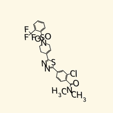 CN(C)C(=O)c1ccc(-c2nnc(C3=CCN(S(=O)(=O)c4ccccc4C(F)(F)F)CC3)s2)cc1Cl